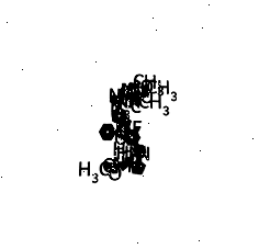 CCCN(Cc1ncc(-c2ccc3c(c2)cc2n3C(c3ccccc3)Oc3cc(-c4cnc(C5CCCN5C(=O)CNC(=O)OC)[nH]4)cc(F)c3-2)[nH]1)C(=O)C(NC(=O)OC)C(C)C